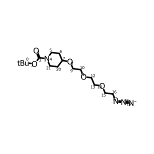 CC(C)(C)OC(=O)N1CCC(OCCOCCOCCN=[N+]=[N-])CC1